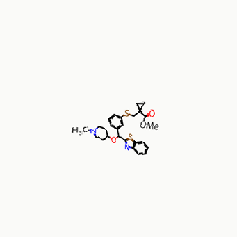 COC(=O)C1(CSc2cccc(C(OC3CCN(C)CC3)c3nc4ccccc4s3)c2)CC1